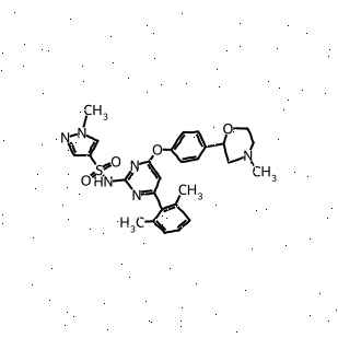 Cc1cccc(C)c1-c1cc(Oc2ccc(C3CN(C)CCO3)cc2)nc(NS(=O)(=O)c2cnn(C)c2)n1